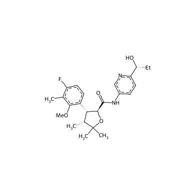 CC[C@@H](O)c1ccc(NC(=O)[C@H]2OC(C)(C)[C@H](C)[C@@H]2c2ccc(F)c(C)c2OC)cn1